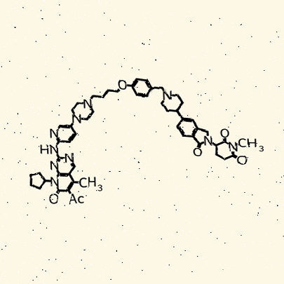 CC(=O)c1c(C)c2cnc(Nc3ccc(N4CCN(CCCCOc5ccc(CN6CCC(c7ccc8c(c7)CN(C7CCC(=O)N(C)C7=O)C8=O)CC6)cc5)CC4)cn3)nc2n(C2CCCC2)c1=O